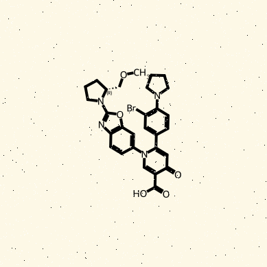 COC[C@H]1CCCN1c1nc2ccc(-n3cc(C(=O)O)c(=O)cc3-c3ccc(N4CCCC4)c(Br)c3)cc2o1